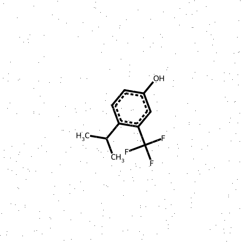 CC(C)c1ccc(O)cc1C(F)(F)F